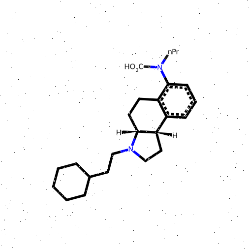 CCCN(C(=O)O)c1cccc2c1CC[C@@H]1[C@H]2CCN1CCC1CCCCC1